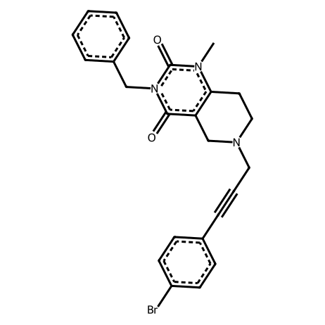 Cn1c2c(c(=O)n(Cc3ccccc3)c1=O)CN(CC#Cc1ccc(Br)cc1)CC2